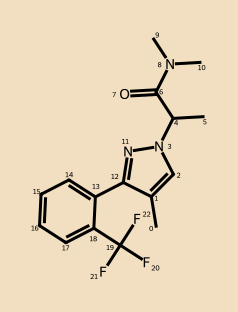 Cc1cn(C(C)C(=O)N(C)C)nc1-c1ccccc1C(F)(F)F